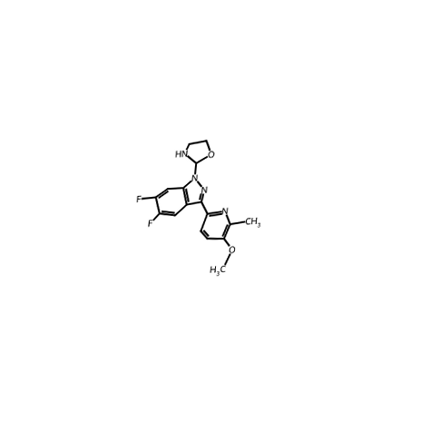 COc1ccc(-c2nn(C3NCCO3)c3cc(F)c(F)cc23)nc1C